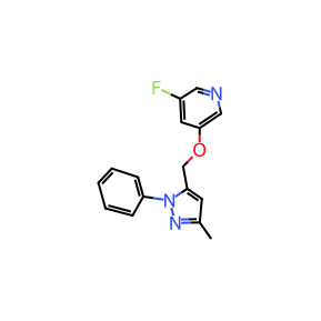 Cc1cc(COc2cncc(F)c2)n(-c2ccccc2)n1